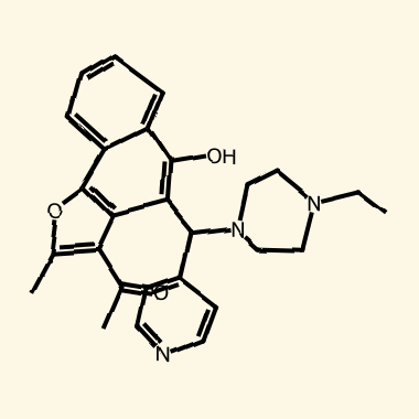 CCN1CCN(C(c2ccncc2)c2c(O)c3ccccc3c3oc(C)c(C(C)=O)c23)CC1